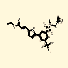 CCOC(=O)/C=C/c1ccc(-c2cc(C(F)(F)F)cc(S(=O)(=O)N(C)C[C@H]3CO3)c2)s1